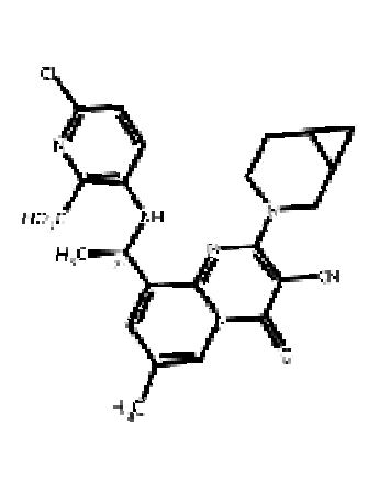 Cc1cc([C@@H](C)Nc2ccc(Cl)nc2C(=O)O)c2nc(N3CCC4CC4C3)c(C#N)c(=O)n2c1